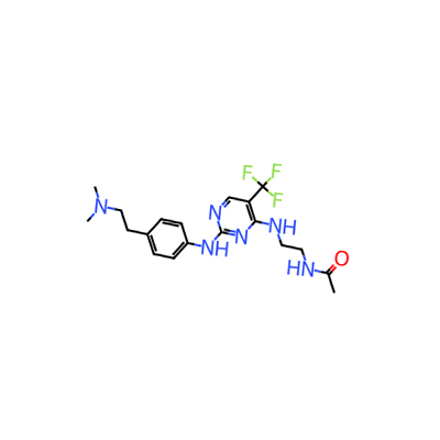 CC(=O)NCCNc1nc(Nc2ccc(CCN(C)C)cc2)ncc1C(F)(F)F